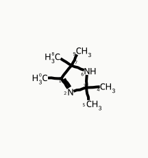 CC1=NC(C)(C)NC1(C)C